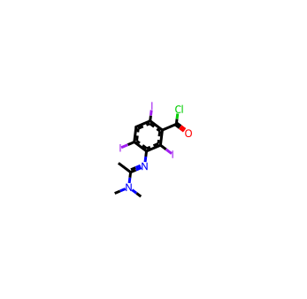 CC(=Nc1c(I)cc(I)c(C(=O)Cl)c1I)N(C)C